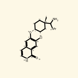 CCCC(N)[C@]1(C)CC[C@H](Oc2cc3cc[nH]c(=O)c3cc2Cl)CC1